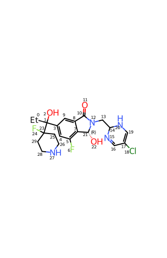 CCC(O)(c1cc(F)c2c(c1)C(=O)N(CC1N=CC(Cl)=CN1)[C@@H]2O)C1(F)CCNCC1